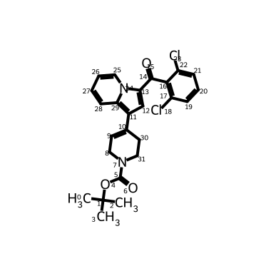 CC(C)(C)OC(=O)N1CC=C(c2cc(C(=O)c3c(Cl)cccc3Cl)n3ccccc23)CC1